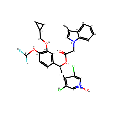 N#Cc1cn(CC(=O)O[C@@H](Cc2c(Cl)c[n+]([O-])cc2Cl)c2ccc(OC(F)F)c(OCC3CC3)c2)c2ccccc12